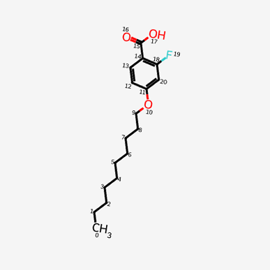 CCCCCCCCCCOc1ccc(C(=O)O)c(F)c1